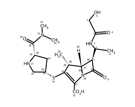 CC(NC(=O)CO)[C@H]1C(=O)N2C(C(=O)O)=C(S[C@@H]3CN[C@H](C(=O)N(C)C)C3)[C@H](C)[C@H]12